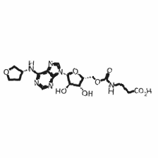 O=C(O)CCNC(=O)OC[C@H]1O[C@@H](n2cnc3c(N[C@@H]4CCOC4)ncnc32)[C@H](O)[C@H]1O